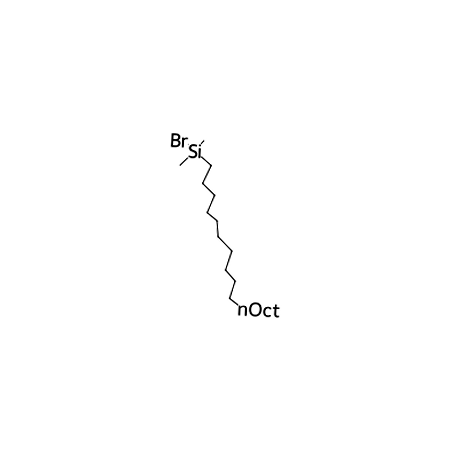 CCCCCCCCCCCCCCCCCC[Si](C)(C)Br